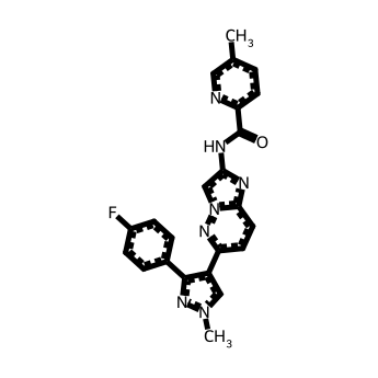 Cc1ccc(C(=O)Nc2cn3nc(-c4cn(C)nc4-c4ccc(F)cc4)ccc3n2)nc1